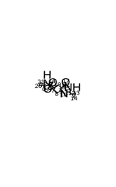 CC1(NS(=O)(=O)c2ccc3nc(C4CC4)[nH]c(=O)c3c2)CC1